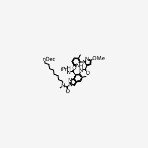 CCCCCCCCCCCCCCCCCCN(C)C(=O)n1cc2cc(C)c(NC(=O)c3cc(OC)nn3-c3ncccc3C)c(C(=O)NC(C)C)c2n1